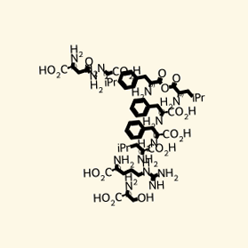 CC(C)C[C@H](N)C(=O)O.CC(C)C[C@H](N)C(=O)OC(=O)[C@@H](N)Cc1ccccc1.CC(C)[C@H](N)C(=O)O.N=C(N)NCCC[C@H](N)C(=O)O.NC(=O)C[C@H](N)C(=O)O.N[C@@H](CO)C(=O)O.N[C@@H](Cc1ccccc1)C(=O)O.N[C@@H](Cc1ccccc1)C(=O)O